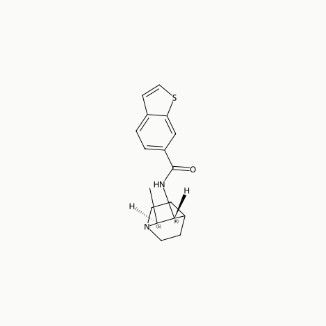 C[C@H]1[C@H](NC(=O)c2ccc3ccsc3c2)C2CCN1CC2